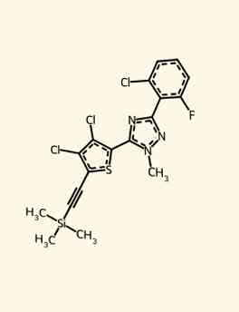 Cn1nc(-c2c(F)cccc2Cl)nc1-c1sc(C#C[Si](C)(C)C)c(Cl)c1Cl